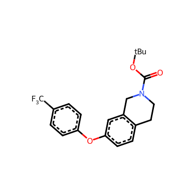 CC(C)(C)OC(=O)N1CCc2ccc(Oc3ccc(C(F)(F)F)cc3)cc2C1